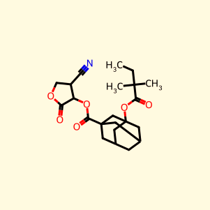 CCC(C)(C)C(=O)OC12CC3CC(C1)CC(C(=O)OC1C(=O)OCC1C#N)(C3)C2